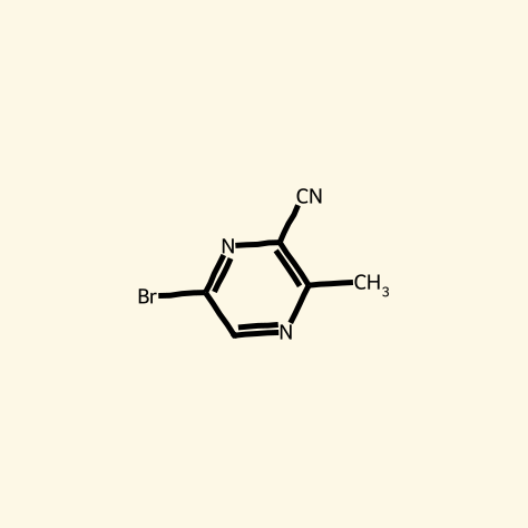 Cc1ncc(Br)nc1C#N